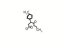 CCCC(=O)C(C[N+](=O)[O-])c1ccc(C)cc1